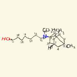 C[C@]12C[C@@H]3C[C@](C)(C1)C[C@](N(CCCCCCCO)C(=O)O)(C3)C2